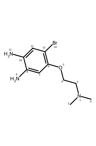 CN(C)CCOc1cc(N)c(N)cc1Br